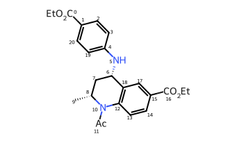 CCOC(=O)c1ccc(N[C@H]2C[C@@H](C)N(C(C)=O)c3ccc(C(=O)OCC)cc32)cc1